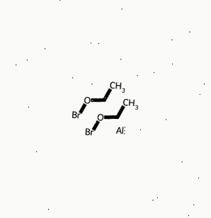 CCOBr.CCOBr.[Al]